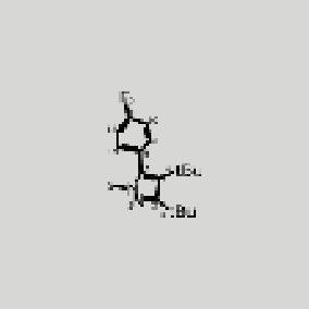 Cn1nc(C(C)(C)C)c(C(C)(C)C)c1-c1ccc(F)cc1